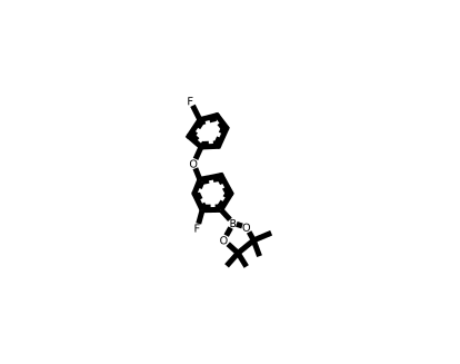 CC1(C)OB(c2ccc(Oc3cccc(F)c3)cc2F)OC1(C)C